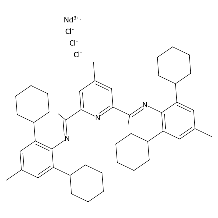 CC(=Nc1c(C2CCCCC2)cc(C)cc1C1CCCCC1)c1cc(C)cc(C(C)=Nc2c(C3CCCCC3)cc(C)cc2C2CCCCC2)n1.[Cl-].[Cl-].[Cl-].[Nd+3]